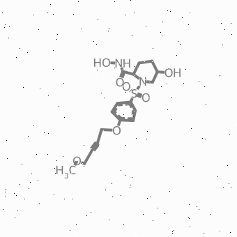 COCC#CCOc1ccc(S(=O)(=O)N2CC(O)CCC2C(=O)NO)cc1